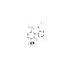 CCOc1ccc([N+](=O)[O-])c(C(C)(C(=O)OC)c2cc(C(=O)O)ccc2Cl)c1